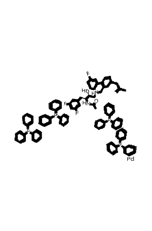 CC(=O)N[C@@H](Cc1cc(F)cc(F)c1)[C@H](O)CNCc1cc(CC(C)C)ccc1-c1cccc(F)c1.[Pd].c1ccc(P(c2ccccc2)c2ccccc2)cc1.c1ccc(P(c2ccccc2)c2ccccc2)cc1.c1ccc(P(c2ccccc2)c2ccccc2)cc1.c1ccc(P(c2ccccc2)c2ccccc2)cc1